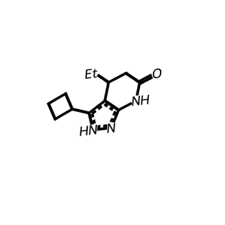 CCC1CC(=O)Nc2n[nH]c(C3CCC3)c21